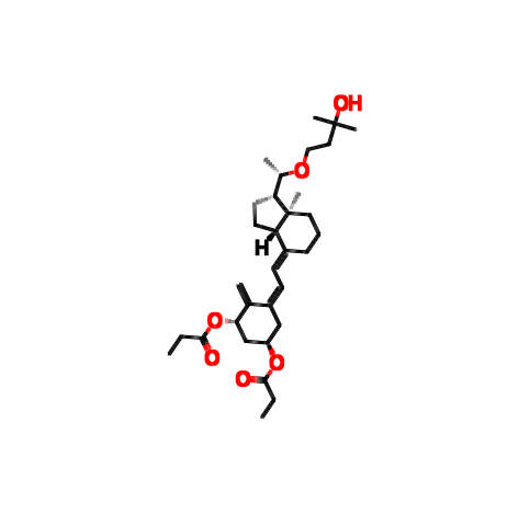 C=C1C(=CC=C2CCC[C@]3(C)[C@@H]([C@H](C)OCCC(C)(C)O)CC[C@@H]23)C[C@@H](OC(=O)CC)C[C@@H]1OC(=O)CC